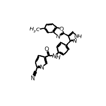 Cc1ccc2oc(-c3c[nH]nc3-c3ccc(NC(=O)c4ccc(C#N)nc4)cc3)nc2c1